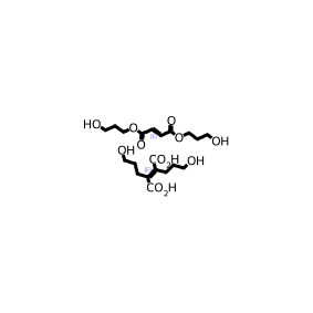 O=C(/C=C/C(=O)OCCCO)OCCCO.O=C(O)/C(CCCO)=C(\CCCO)C(=O)O